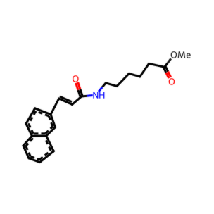 COC(=O)CCCCCNC(=O)C=Cc1ccc2ccccc2c1